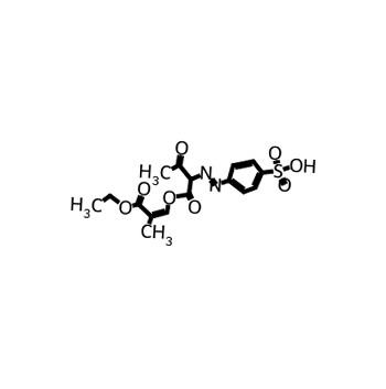 CCOC(=O)C(C)=COC(=O)C(N=Nc1ccc(S(=O)(=O)O)cc1)C(C)=O